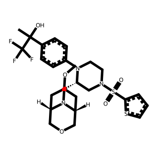 COC1C[C@H]2COC[C@@H](C1)N2C[C@H]1CN(S(=O)(=O)c2cccs2)CCN1c1ccc(C(C)(O)C(F)(F)F)cc1